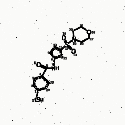 CC(C)(C)c1ccc(C(=O)Nc2ccc(S(=O)(=O)N3CCOCC3)s2)cc1